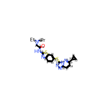 CCN(CC(=O)Nc1nc2ccc(Sc3nnc4ccc(C5CC5)nn34)cc2s1)C(C)C